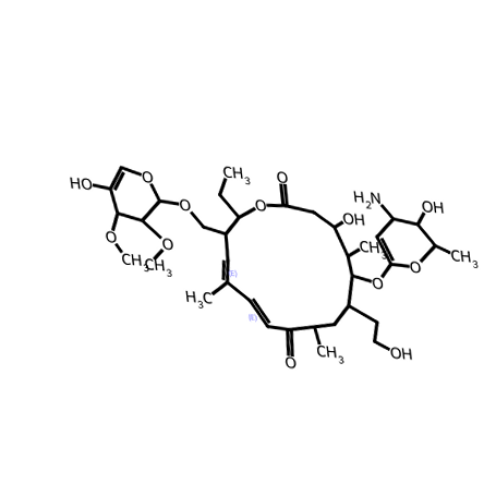 CCC1OC(=O)CC(O)C(C)C(OC2=CC(N)C(O)C(C)O2)C(CCO)CC(C)C(=O)/C=C/C(C)=C/C1COC1OC=C(O)C(OC)C1OC